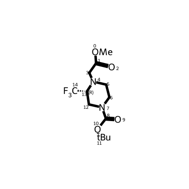 COC(=O)CN1CCN(C(=O)OC(C)(C)C)C[C@@H]1C(F)(F)F